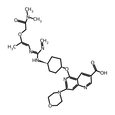 C=N/C(=N\C=C(/C)OCC(=O)N(C)C)N[C@H]1CC[C@@H](Oc2nc(N3CCOCC3)cc3ncc(C(=O)O)cc23)CC1